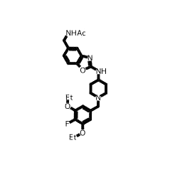 CCOc1cc(CN2CCC(Nc3nc4cc(CNC(C)=O)ccc4o3)CC2)cc(OCC)c1F